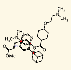 COC(=O)/C=C/c1ccnc(N(CC2C3CC2CN(c2ccc(N(C)C)cc2)C3)C(=O)C2CCC(OCCN(C)C)CC2)c1